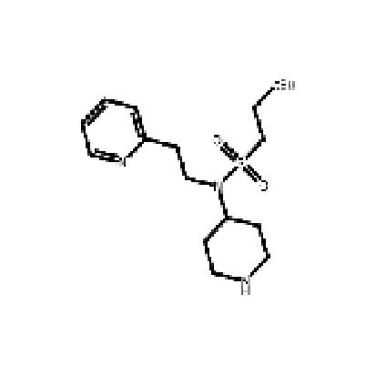 CC(C)(C)CCS(=O)(=O)N(CCc1ccccn1)C1CCNCC1